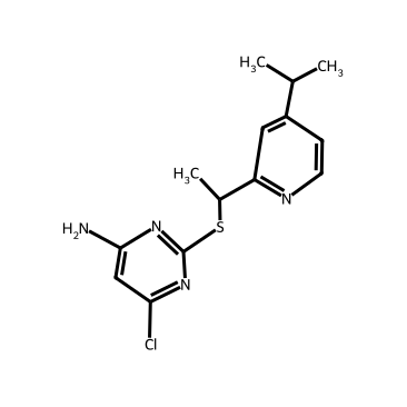 CC(C)c1ccnc(C(C)Sc2nc(N)cc(Cl)n2)c1